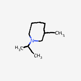 CC1CCCCN(C(C)C)C1